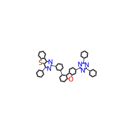 c1ccc(-c2nc(-c3ccccc3)nc(-c3ccc4c(c3)oc3cccc(-c5cccc(-c6nc(-c7ccccc7)c7sc8ccccc8c7n6)c5)c34)n2)cc1